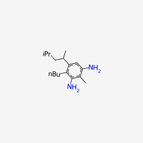 CCCCc1c(C(C)CC(C)C)cc(N)c(C)c1N